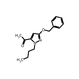 CCCCn1nc(OCc2ccccc2)cc1C(C)=O